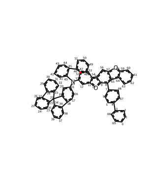 c1ccc(-c2ccc(-c3c4oc5cc(N(c6ccc7c(c6)C6(c8ccccc8-c8ccccc86)c6ccccc6-7)c6ccccc6-c6ccccc6)ccc5c4cc4oc5ccccc5c34)cc2)cc1